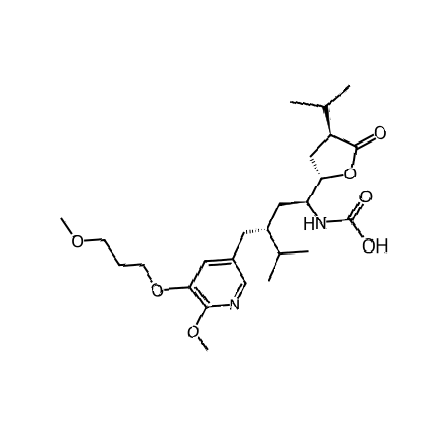 COCCCOc1cc(C[C@H](C[C@H](NC(=O)O)[C@@H]2C[C@@H](C(C)C)C(=O)O2)C(C)C)cnc1OC